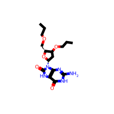 CCCOC[C@H]1O[C@@H](n2c(=O)[nH]c3c(=O)[nH]c(N)nc32)CC1OCCC